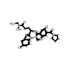 CCN(O)C(=O)CCC(Nc1ncnc2cc(C(=O)N3CCCC3)c(Cl)cc12)c1nc2cc(Cl)ccc2[nH]1